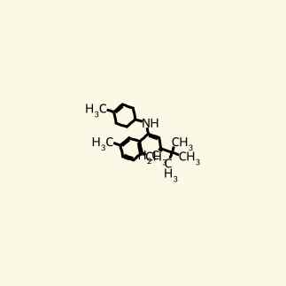 C=C(/C=C(/NC1CC=C(C)CC1)c1cc(C)ccc1C)C(C)(C)C